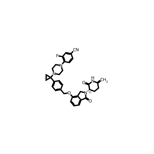 C=C1CC[C@H](N2Cc3c(OCc4ccc(C5(N6CCN(c7ccc(C#N)cc7F)CC6)CC5)cc4)cccc3C2=O)C(=O)N1